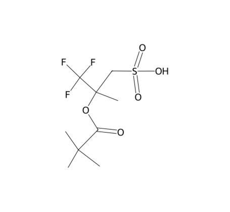 CC(C)(C)C(=O)OC(C)(CS(=O)(=O)O)C(F)(F)F